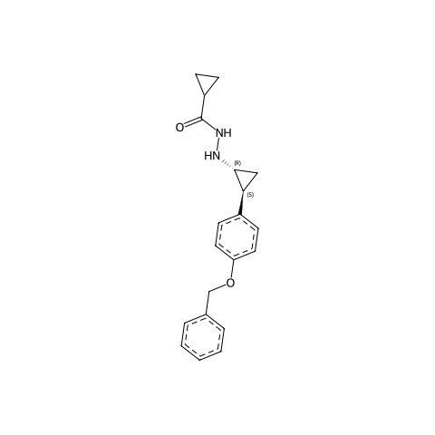 O=C(NN[C@@H]1C[C@H]1c1ccc(OCc2ccccc2)cc1)C1CC1